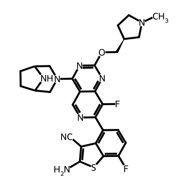 CN1CC[C@H](COc2nc(N3CC4CCC(C3)N4)c3cnc(-c4ccc(F)c5sc(N)c(C#N)c45)c(F)c3n2)C1